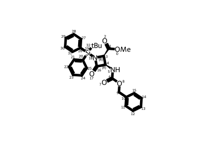 COC(=O)[C@H]1[C@@H](NC(=O)OCc2ccccc2)C(=O)N1[Si](c1ccccc1)(c1ccccc1)C(C)(C)C